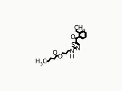 CCCCC(=O)OCCCNc1ncc(C(=O)c2ccccc2CC)s1